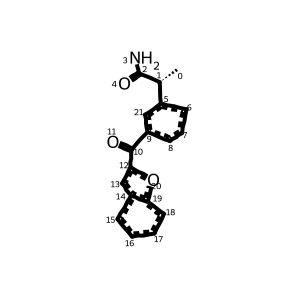 C[C@@H](C(N)=O)c1cccc(C(=O)c2cc3ccccc3o2)c1